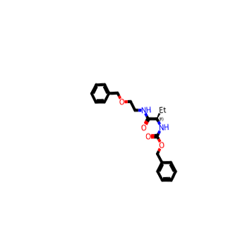 CC[C@@H](NC(=O)OCc1ccccc1)C(=O)NCCOCc1ccccc1